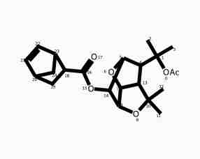 CC(=O)OC(C)(C)C1C2OC3C(OC(C)(C)C31)C2OC(=O)C1CC2C=CC1C2